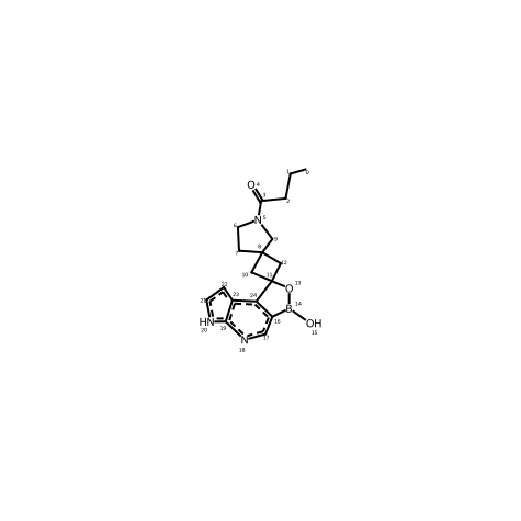 CCCC(=O)N1CCC2(C1)CC1(C2)OB(O)c2cnc3[nH]ccc3c21